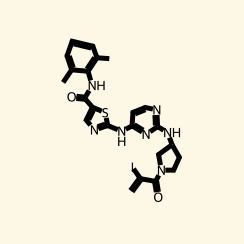 C=C(I)C(=O)N1CCC(Nc2nccc(Nc3ncc(C(=O)Nc4c(C)cccc4C)s3)n2)C1